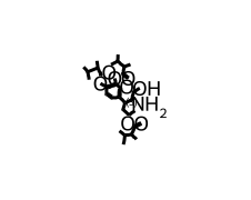 CC(CC(c1ccc(OC(=O)C(C)C(C)C)c(OC(=O)C(C)C(C)C)c1)[C@H](N)C(=O)O)OC(=O)C(C)C(C)C